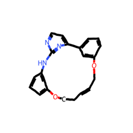 C1=C/COc2cccc(c2)-c2ccnc(n2)Nc2cccc(c2)OCC/1